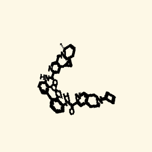 C[C@@H]1CCCCN1Cc1cnc(C(=O)Nc2cccc(-c3cccc(NC(=O)c4cc5c(cn4)CN(C4CCC4)CC5)c3Cl)c2Cl)cc1C1CC1